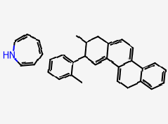 C1=CC=CNC=C1.Cc1ccccc1C1C=c2c(ccc3c2=CCc2ccccc2-3)CC1C